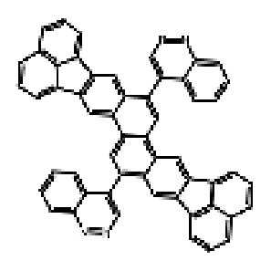 c1cc2c3c(cccc3c1)-c1cc3c(cc1-2)c(-c1cnnc2ccccc12)cc1c2cc4c(cc2c(-c2cnnc5ccccc25)cc31)-c1cccc2cccc-4c12